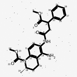 COC(=O)C(CC(=O)Nc1ccc2c(c1N)CC[C@H](C)N2C(=O)OC)c1ccccc1